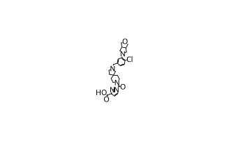 O=C(O)c1ccn(C(=O)N2CCC3(CCN(Cc4ccc(Cl)c(N5CC6COCC6C5)c4)C3)CC2)n1